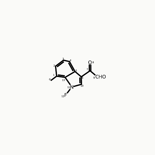 Cc1cccc2c(C(=O)C=O)cn(F)c12